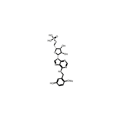 COc1ccc(O)cc1CNc1ncnc2c1ncn2[C@@H]1O[C@H](COP(=O)(O)O)[C@@H](O)[C@H]1O